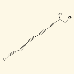 CC#CC#CC#CC#CC#CC(O)CO